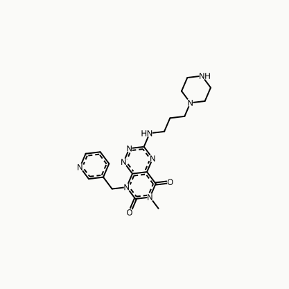 Cn1c(=O)c2nc(NCCCN3CCNCC3)nnc2n(Cc2cccnc2)c1=O